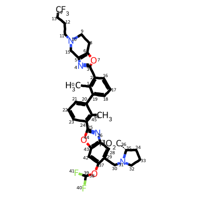 Cc1c(-c2nc3c(o2)CCN(CCCC(F)(F)F)C3)cccc1-c1cccc(-c2nc3cc(CN4CCC[C@H]4C(=O)O)c(OC(F)F)cc3o2)c1C